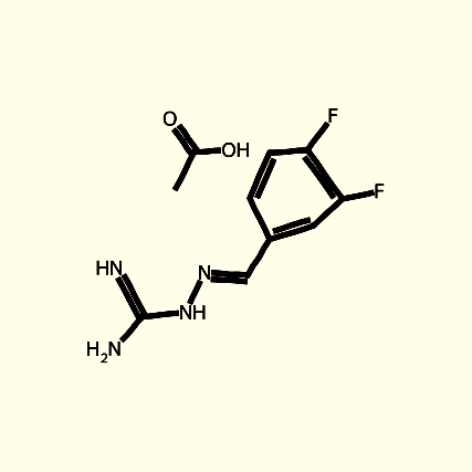 CC(=O)O.N=C(N)N/N=C/c1ccc(F)c(F)c1